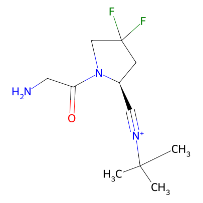 CC(C)(C)[N+]#C[C@@H]1CC(F)(F)CN1C(=O)CN